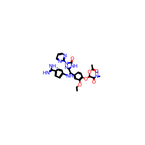 CCOc1cc(C(Nc2ccc(C(=N)N)cc2)c2nn(-c3ncccn3)c(=O)[nH]2)ccc1OC(OC(C)=O)C(=O)NC